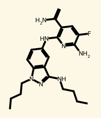 C=C(N)c1cc(F)c(N)nc1Nc1ccc2c(c1)c(NCCCC)nn2CCCC